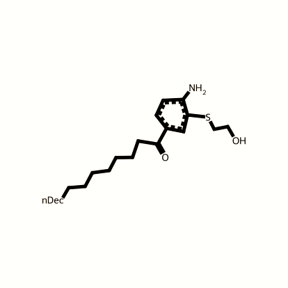 CCCCCCCCCCCCCCCCCC(=O)c1ccc(N)c(SCCO)c1